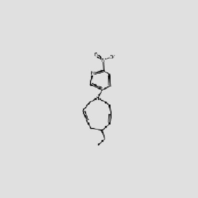 CCC1/C=C\CN(c2ccc([N+](=O)[O-])nc2)C/C=C\C1